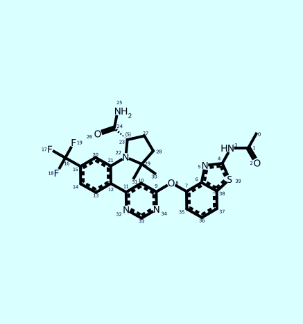 CC(=O)Nc1nc2c(Oc3cc(-c4ccc(C(F)(F)F)cc4N4[C@H](C(N)=O)CCC4(C)C)ncn3)cccc2s1